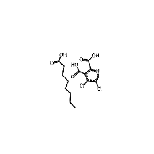 CCCCCCCC(=O)O.O=C(O)c1ncc(Cl)c(Cl)c1C(=O)O